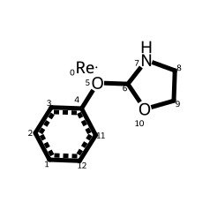 [Re].c1ccc(OC2NCCO2)cc1